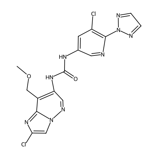 COCc1c(NC(=O)Nc2cnc(-n3nccn3)c(Cl)c2)cnn2cc(Cl)nc12